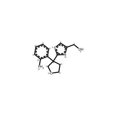 OCc1csc(C2(c3ccccc3P)CCOC2)n1